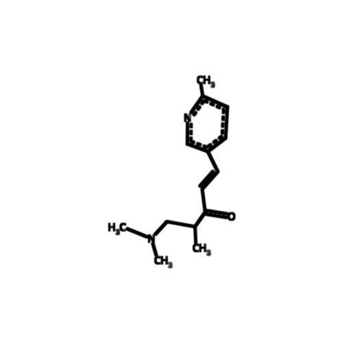 Cc1ccc(/C=C/C(=O)C(C)CN(C)C)cn1